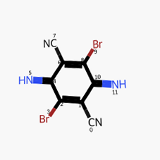 N#CC1=C(Br)C(=N)C(C#N)=C(Br)C1=N